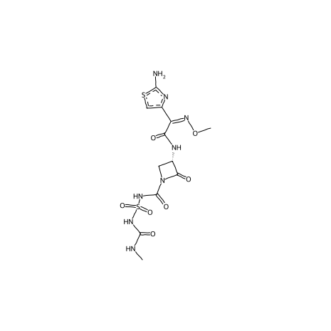 CNC(=O)NS(=O)(=O)NC(=O)N1C[C@H](NC(=O)/C(=N\OC)c2csc(N)n2)C1=O